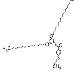 CCCCCCCCCCCCCCCCCOc1cc(/C=C/C(=O)c2ccc(SCCCC)cc2)cc(OCCCCCCCCCCCCCCCCC)c1